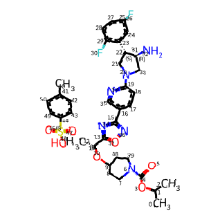 CC(C)OC(=O)N1CCC(O[C@H](C)c2nc(-c3ccc(N4C[C@H](c5cc(F)ccc5F)[C@@H](N)C4)nc3)no2)CC1.Cc1ccc(S(=O)(=O)O)cc1